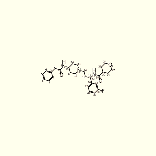 O=C(Cc1ccccc1)NC1CCN(CC[C@H](NC(=O)C2CCOCC2)c2cccc(F)c2)CC1